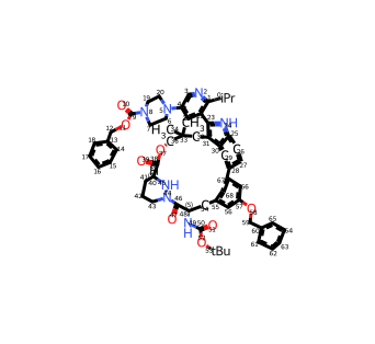 CC(C)c1ncc(N2CCN(C(=O)OCc3ccccc3)CC2)cc1-c1[nH]c2ccc3cc2c1CC(C)(C)COC(=O)[C@@H]1CCCN(N1)C(=O)[C@@H](NC(=O)OC(C)(C)C)Cc1cc(OCc2ccccc2)cc-3c1